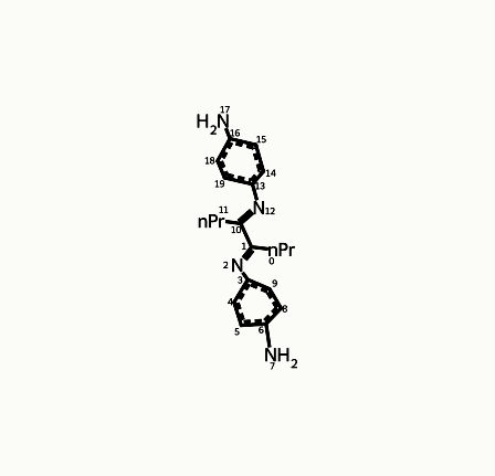 CCCC(=N\c1ccc(N)cc1)/C(CCC)=N/c1ccc(N)cc1